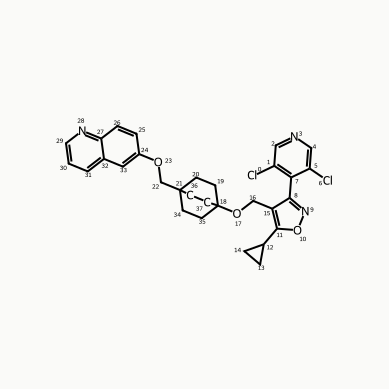 Clc1cncc(Cl)c1-c1noc(C2CC2)c1COC12CCC(COc3ccc4ncccc4c3)(CC1)CC2